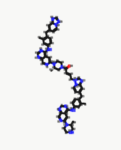 Cc1cc(Nc2ncnc3cnc(N4CCNC[C@@H]4C)cc23)ccc1Cc1ccn2c(c1)nc[n+]2C/C=C/C(=O)N1CCN(c2cc3c(Nc4ccc(Cc5ccn6ncnc6c5)c(C)c4)ncnc3cn2)[C@@H](C)C1